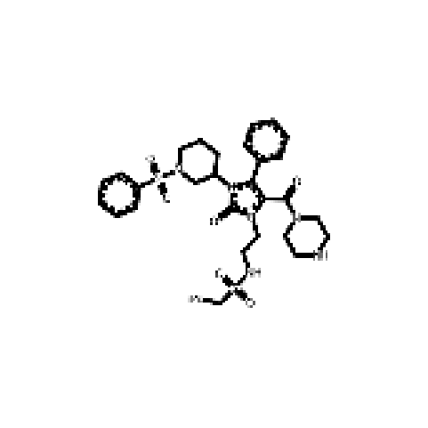 CC(C)CS(=O)(=O)NCCn1c(C(=O)N2CCNCC2)c(-c2ccccc2)n(C2CCCN(S(=O)(=O)c3ccccc3)C2)c1=O